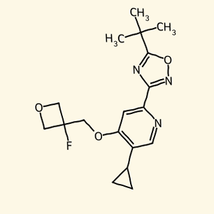 CC(C)(C)c1nc(-c2cc(OCC3(F)COC3)c(C3CC3)cn2)no1